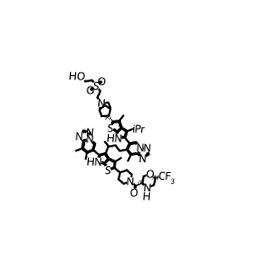 Cc1c(-c2[nH]c3sc(C4CCN(C(=O)[C@H]5CO[C@@H](C(F)(F)F)CN5)CC4)c(C)c3c2C(C)CCc2c(-c3[nH]c4sc([C@@H]5CC6CC5CN6CCS(=O)(=O)CCO)c(C)c4c3C(C)C)cn3ncnc3c2C)cn2ncnc2c1C